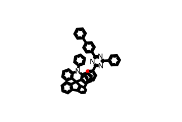 C1=CC2=C(C(c3ccc(-c4nc(-c5ccccc5)nc(-c5ccc(-c6ccccc6)cc5)n4)cc3)C1)C1(c3ccccc32)c2ccccc2N(c2ccccc2)c2ccccc21